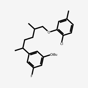 Cc1ccc(Cl)c(OCC(C)CCC(C)c2cc(F)cc(OCC(C)C)c2)c1